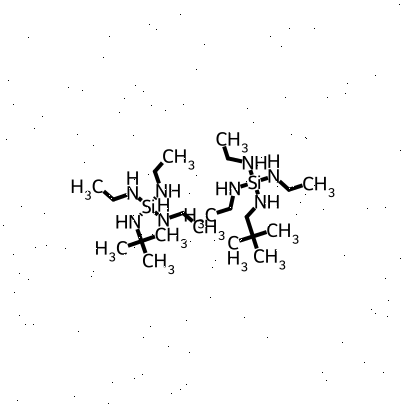 CCN[Si](NCC)(NCC)NC(C)(C)C.CCN[Si](NCC)(NCC)NCC(C)(C)C